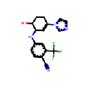 N#Cc1ccc(NC2C=C(n3ccnc3)CCC2O)cc1C(F)(F)F